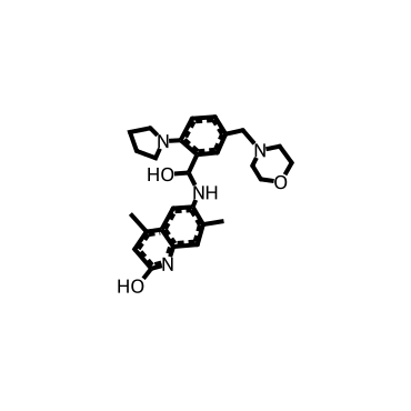 Cc1cc2nc(O)cc(C)c2cc1NC(O)c1cc(CN2CCOCC2)ccc1N1CCCC1